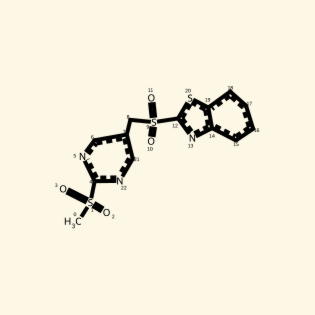 CS(=O)(=O)c1ncc(CS(=O)(=O)c2nc3ccccc3s2)cn1